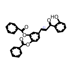 O=C(Oc1ccc(/C=C/C(=O)c2ccccc2O)cc1OC(=O)c1ccccc1)c1ccccc1